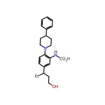 CCC(CCO)c1ccc(N2CCC(c3ccccc3)CC2)c(NC(=O)O)c1